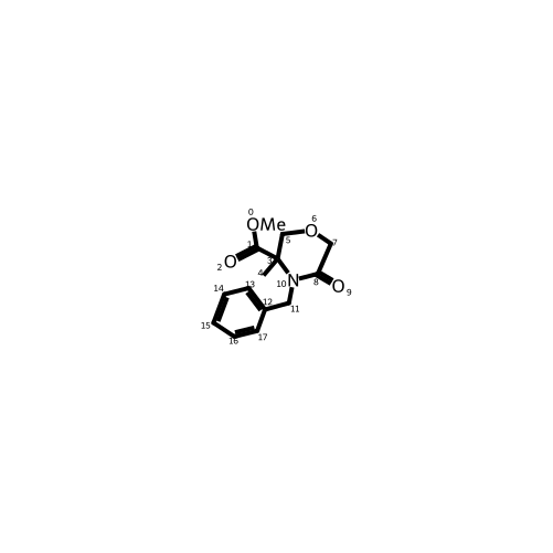 COC(=O)C1(C)COCC(=O)N1Cc1ccccc1